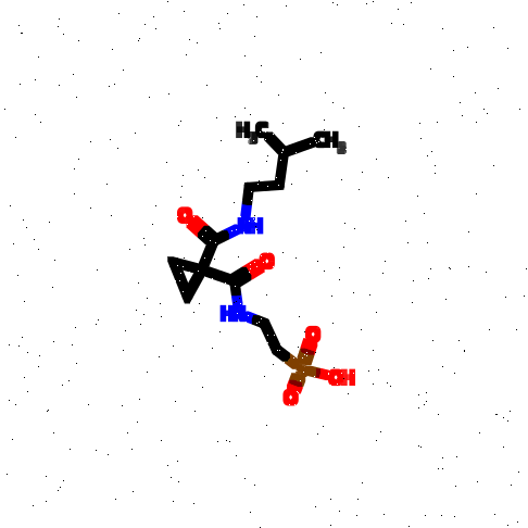 CC(C)CCNC(=O)C1(C(=O)NCCS(=O)(=O)O)CC1